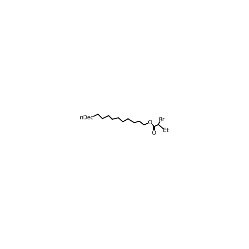 CCCCCCCCCCCCCCCCCCCCOC(=O)C(Br)CC